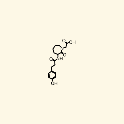 O=C(O)CN1CCCCC(NC(=O)CCc2ccc(O)cc2)C1=O